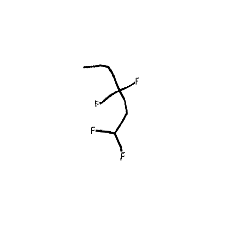 CCC(F)(F)CC(F)F